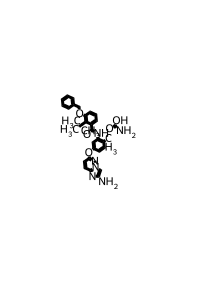 Cc1ccc(Oc2ccc3nc(N)cn3n2)cc1NC(=O)c1cccc(OCc2ccccc2)c1C(C)(C)C.NC(=O)O